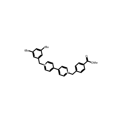 COC(=O)c1ccc(C[n+]2ccc(-c3cc[n+](Cc4cc(C(C)(C)C)cc(C(C)(C)C)c4)cc3)cc2)cc1